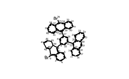 BrC1=c2ccccc2=C(c2cc(-c3c4ccccc4cc4ccccc34)cc(-c3c4ccccc4c(Br)c4ccccc34)c2)C2CC=CC=C12